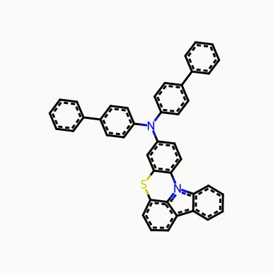 c1ccc(-c2ccc(N(c3ccc(-c4ccccc4)cc3)c3ccc4c(c3)Sc3cccc5c6ccccc6n-4c35)cc2)cc1